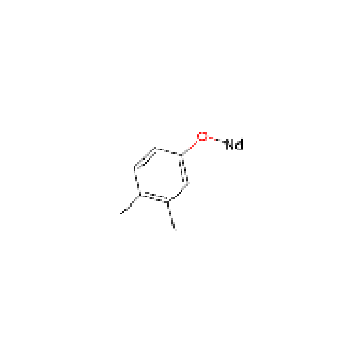 Cc1ccc([O][Nd])cc1C